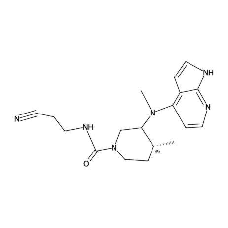 C[C@@H]1CCN(C(=O)NCCC#N)CC1N(C)c1ccnc2[nH]ccc12